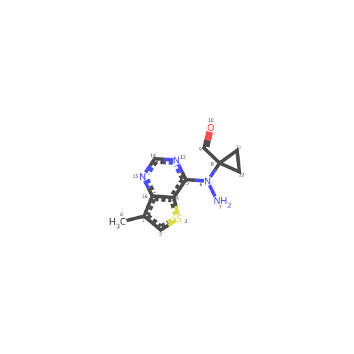 Cc1csc2c(N(N)C3(C=O)CC3)ncnc12